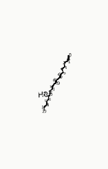 C=CCCCCCCCCCCCCC(O)CCCCC